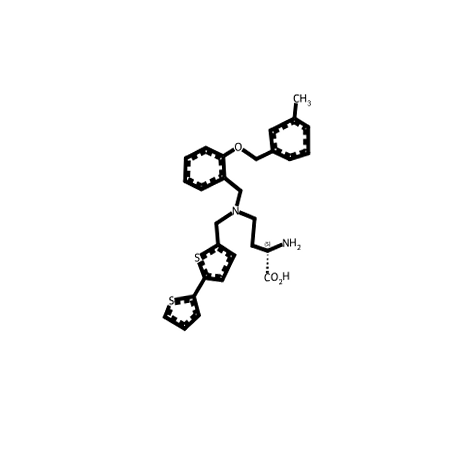 Cc1cccc(COc2ccccc2CN(CC[C@H](N)C(=O)O)Cc2ccc(-c3cccs3)s2)c1